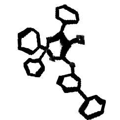 N#CC1=C(Oc2cccc(-c3ccccc3)c2)N=P(c2ccccc2)(c2ccccc2)N=C1c1ccccc1